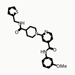 COc1cccc(NC(=O)c2ccnc(N3CCC(C(=O)NCc4cccs4)CC3)c2)c1